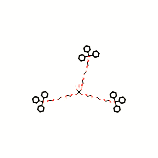 OCC(COCCOCCOCCOC(c1ccccc1)(c1ccccc1)c1ccccc1)(COCCOCCOCCOC(c1ccccc1)(c1ccccc1)c1ccccc1)COCCOCCOCCOC(c1ccccc1)(c1ccccc1)c1ccccc1